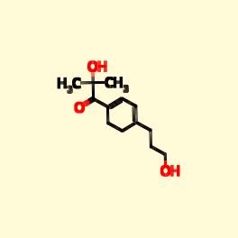 CC(C)(O)C(=O)C1=CC=C(CCCO)CC1